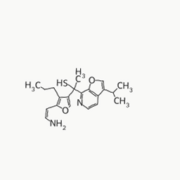 CCCc1c(C(C)(S)c2nccc3c(C(C)C)coc23)coc1/C=C\N